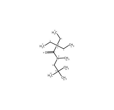 CC[N+](CC)(CC)C(=O)N(C)CC(C)(C)C